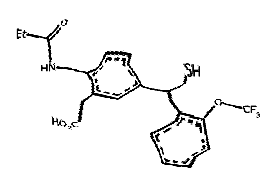 CCC(=O)Nc1ccc(C(S)c2ccccc2OC(F)(F)F)cc1C(=O)O